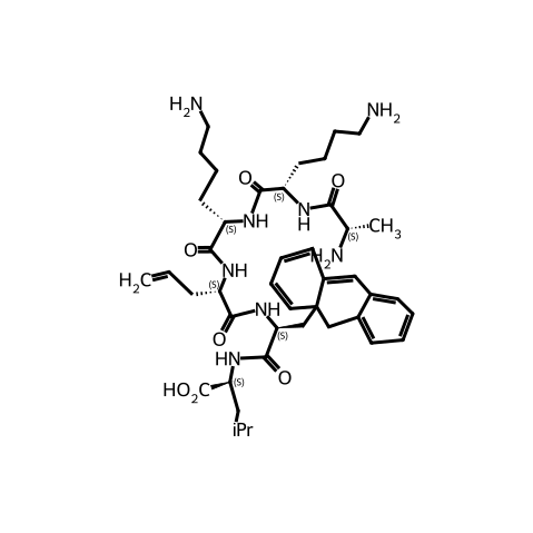 C=CC[C@H](NC(=O)[C@H](CCCCN)NC(=O)[C@H](CCCCN)NC(=O)[C@H](C)N)C(=O)N[C@@H](CC12C=CC=CC1=Cc1ccccc1C2)C(=O)N[C@@H](CC(C)C)C(=O)O